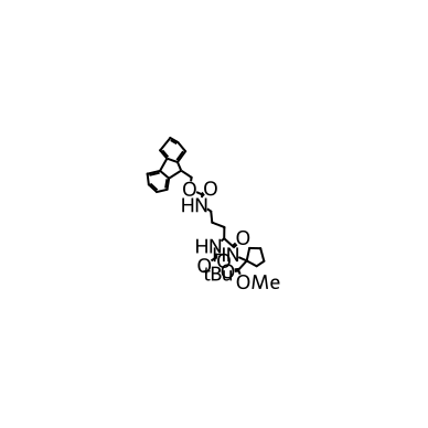 COC(=O)C1(NC(=O)C(CCCNC(=O)OCC2c3ccccc3-c3ccccc32)NC(=O)OC(C)(C)C)CCCC1